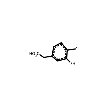 O=C(O)Cc1ccc(Cl)c(S)c1